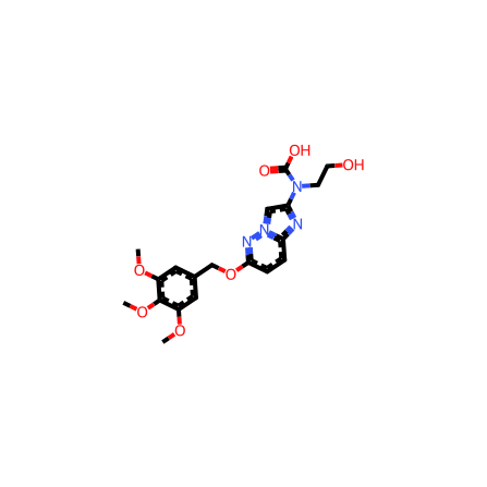 COc1cc(COc2ccc3nc(N(CCO)C(=O)O)cn3n2)cc(OC)c1OC